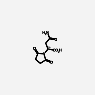 NC(=O)C[C@@H](C(=O)O)N1C(=O)CCC1=O